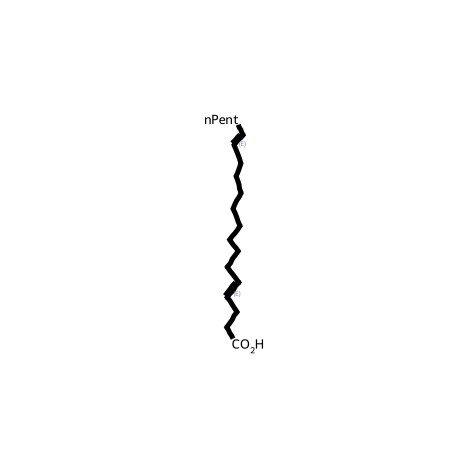 CCCCC/C=C/CCCCCCCC/C=C/CCC(=O)O